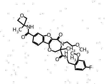 COCCN1C(=O)c2oc3cc(C(=O)NC4(C)COC4)ccc3c2OCC1(C)C(=O)NCc1ccc(F)cc1OC